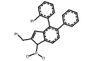 CC(C)CC1=Cc2c(ccc(-c3ccccc3)c2-c2ccccc2C(C)C)[CH]1[Zr]([Cl])[Cl]